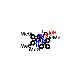 COc1ccc(C(Nc2nc(C(c3ccccc3)(c3ccc(OC)cc3)c3ccc(OC)cc3)nc3c2ncn3[C@H]2O[C@H](CO)C[C@H]2I)(c2ccccc2)c2ccc(OC)cc2)cc1